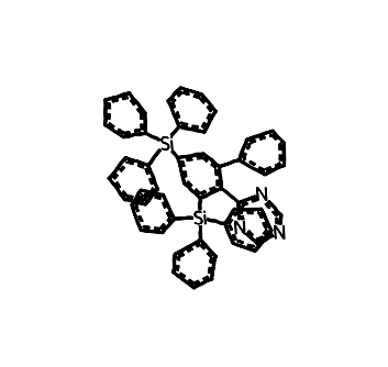 c1ccc(-c2cc([Si](c3ccccc3)(c3ccccc3)c3ccccc3)cc([Si](c3ccccc3)(c3ccccc3)c3ccccc3)c2-c2ncncn2)cc1